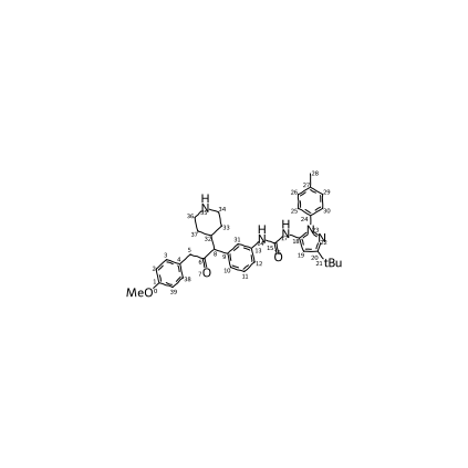 COc1ccc(CC(=O)C(c2cccc(NC(=O)Nc3cc(C(C)(C)C)nn3-c3ccc(C)cc3)c2)C2CCNCC2)cc1